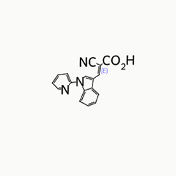 N#C/C(=C\c1cn(-c2ccccn2)c2ccccc12)C(=O)O